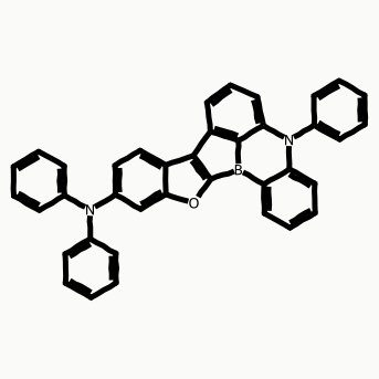 c1ccc(N(c2ccccc2)c2ccc3c4c(oc3c2)B2c3ccccc3N(c3ccccc3)c3cccc-4c32)cc1